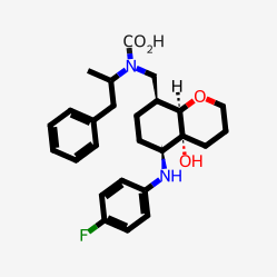 CC(Cc1ccccc1)N(C[C@@H]1CC[C@H](Nc2ccc(F)cc2)[C@]2(O)CCCO[C@H]12)C(=O)O